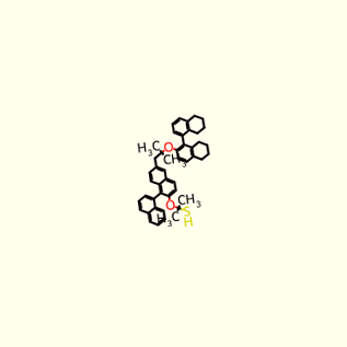 CC(C)(S)Oc1ccc2cc(CC(C)(C)Oc3ccc4c(c3-c3cccc5c3CCCC5)CCCC4)ccc2c1-c1cccc2ccccc12